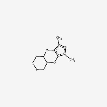 Cc1sc(C)c2c1OC1CSSCC1O2